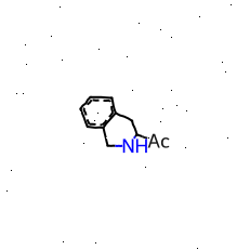 CC(=O)C1Cc2ccccc2CN1